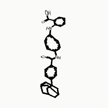 O=C(Nc1ccc(Nc2ccccc2C(=O)O)cc1)c1ccc(C23CC4CC(CC(C4)C2)C3)cc1